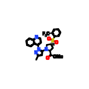 COC(=O)C1C[C@@H](S(=O)(=O)c2ccccc2C(F)(F)F)CN1c1cc(C)nn1-c1ccnc2ccccc12